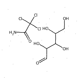 NC(=O)C(Cl)(Cl)Cl.O=CC(O)C(O)C(O)CO